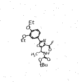 CCOc1ccc(-c2nc(C(=O)F)c(C(C)NC(=O)OC(C)(C)C)o2)cc1OCC